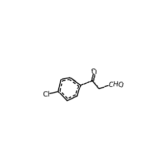 O=CCC(=O)c1ccc(Cl)cc1